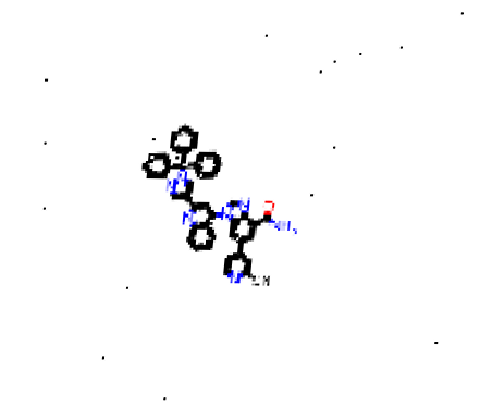 N#Cc1cc(-c2cc(C(N)=O)c3ncn(-c4cc(-c5cnn(C(c6ccccc6)(c6ccccc6)c6ccccc6)c5)nc5ccccc45)c3c2)ccn1